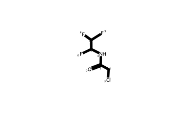 O=C(CCl)NC(F)C(F)F